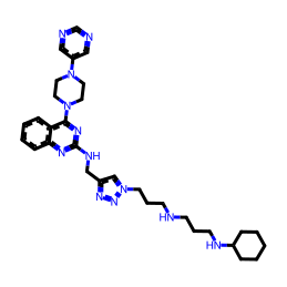 c1ccc2c(N3CCN(c4cncnc4)CC3)nc(NCc3cn(CCCNCCCNC4CCCCC4)nn3)nc2c1